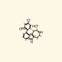 Cl.Clc1ccc(-c2cccc3[nH]c4c(c23)CCNCC4)c(Cl)c1